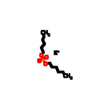 CCCCCCOP(=O)([O-])OCCCCCC.[K+]